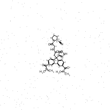 C[C@@H](CC(c1ccc(C(=O)N(C)C)cc1)(c1ccc(C(=O)N(C)C)cc1)c1nn[nH]n1)NCC(=O)N1CCC[C@H]1C#N